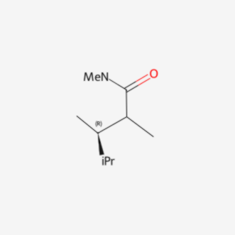 CNC(=O)C(C)[C@H](C)C(C)C